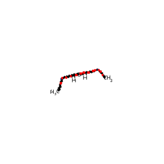 CCCCCCCC/C=C\CCCCCCCCNCCCOCCCNCCCCCCCC/C=C\CCCCCCCC